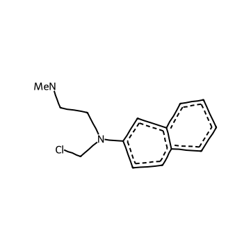 CNCCN(CCl)c1ccc2ccccc2c1